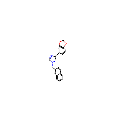 c1ccc2cc(Cn3cnc(-c4ccc5c(c4)OCO5)c3)ccc2c1